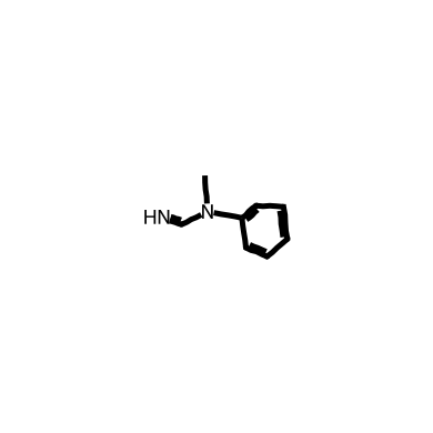 CN(C=N)c1ccccc1